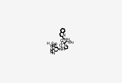 CC(C)(C)[C@H](NC(=O)c1ccc2ccccc2n1)C(=O)N1CCC[C@@H]1C(=O)N[C@H](/C=C/S(C)(=O)=O)Cc1nnn[nH]1